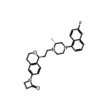 C[C@@H]1CN(c2cccc3cc(F)ccc23)CCN1CC[C@@H]1OCCc2cc(N3CCC3=O)ccc21